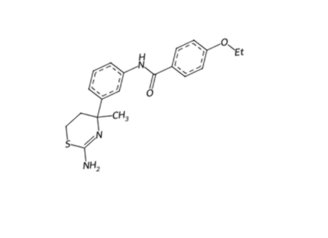 CCOc1ccc(C(=O)Nc2cccc(C3(C)CCSC(N)=N3)c2)cc1